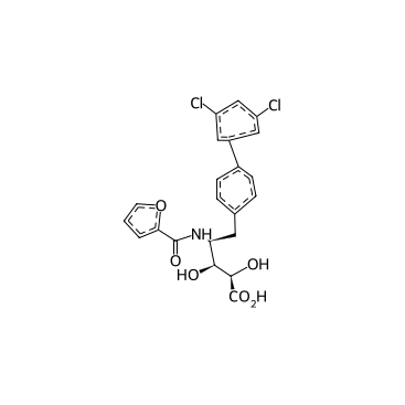 O=C(N[C@@H](Cc1ccc(-c2cc(Cl)cc(Cl)c2)cc1)[C@H](O)[C@@H](O)C(=O)O)c1ccco1